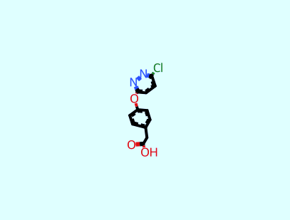 O=C(O)Cc1ccc(Oc2ccc(Cl)nn2)cc1